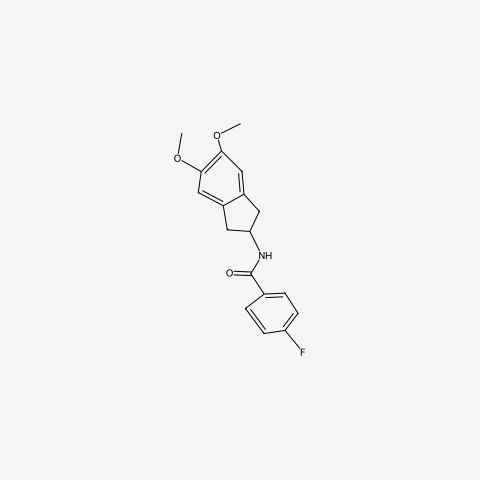 COc1cc2c(cc1OC)CC(NC(=O)c1ccc(F)cc1)C2